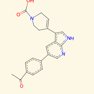 CC(=O)c1ccc(-c2cnc3[nH]cc(C4=CCN(C(=O)O)CC4)c3c2)cc1